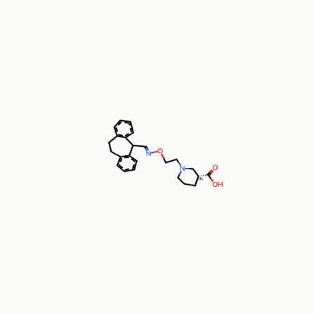 O=C(O)[C@@H]1CCCN(CCON=CC2c3ccccc3CCc3ccccc32)C1